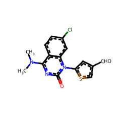 CN(C)c1nc(=O)n(-c2cc(C=O)cs2)c2cc(Cl)ccc12